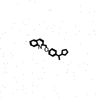 CC(c1ccc(OCc2ccc3ccccc3n2)cc1)C1CCCC1